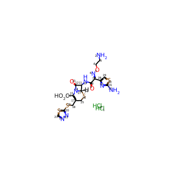 Cl.Cl.NCCON=C(C(=O)NC1C(=O)N2C(C(=O)O)=C(CSc3nncs3)CS[C@@H]12)c1csc(N)n1